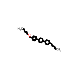 CC=CCCC1CCC(C2CCC(c3ccc(COCC=CCC)cc3)CC2)CC1